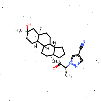 C[C@@H](C(=O)[C@H]1CC[C@H]2[C@@H]3CC[C@@H]4C[C@](C)(O)CC[C@@H]4[C@H]3CC[C@]12C)n1cc(C#N)cn1